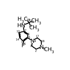 CN1CCN(c2cc(NC(C)(C)C)ccc2F)CC1